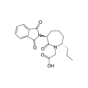 CCC[C@H]1CCC[C@H](N2C(=O)c3ccccc3C2=O)C(=O)N1CC(=O)O